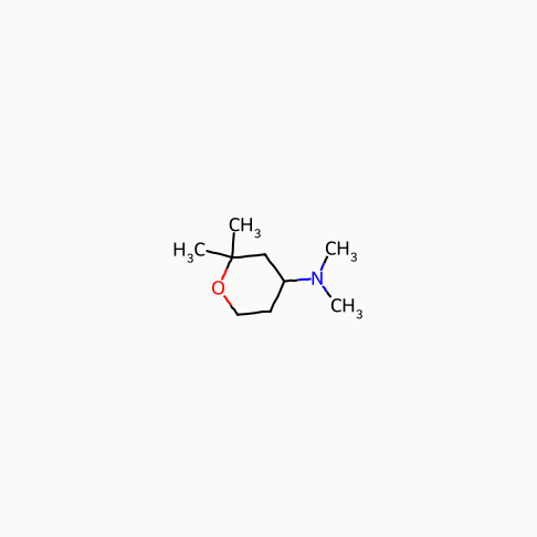 CN(C)C1CCOC(C)(C)C1